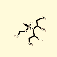 CCOP(O)(=S)[SH](C(C)CC)C(C)CC